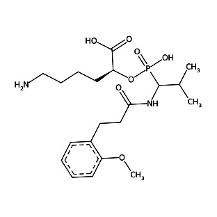 COc1ccccc1CCC(=O)NC(C(C)C)P(=O)(O)O[C@@H](CCCCN)C(=O)O